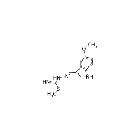 COc1ccc2[nH]cc(/C=N/NC(=N)SC)c2c1